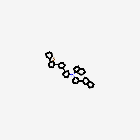 c1cc(-c2cccc(N(c3cccc(-c4ccc5ccccc5c4)c3)c3cccc4ccccc34)c2)cc(-c2cccc3c2sc2ccccc23)c1